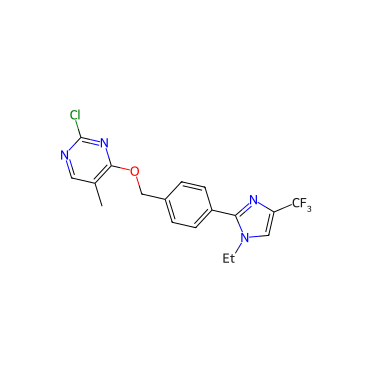 CCn1cc(C(F)(F)F)nc1-c1ccc(COc2nc(Cl)ncc2C)cc1